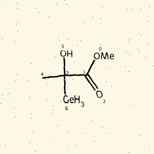 COC(=O)[C](C)(O)[GeH3]